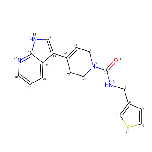 O=C(NCc1ccsc1)N1CC=C(c2c[nH]c3ncccc23)CC1